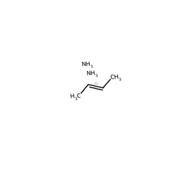 C/C=C/C.N.N